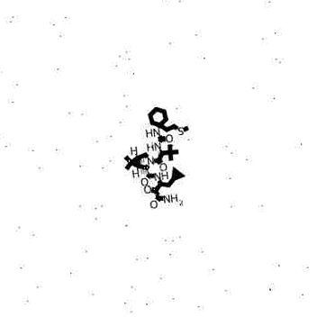 CSCCC1(NC(=O)N[C@H](C(=O)N2C[C@H]3[C@@H]([C@H]2C(=O)NC(CC2CC2)C(=O)C(N)=O)C3(C)C)C(C)(C)C)CCCCC1